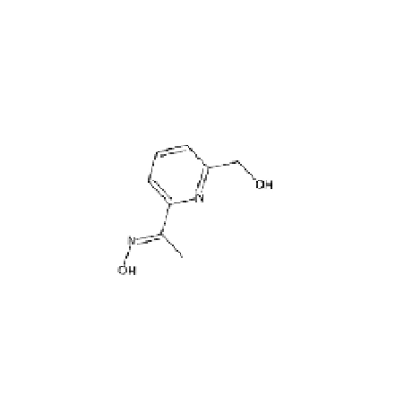 C/C(=N\O)c1cccc(CO)n1